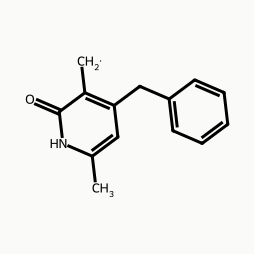 [CH2]c1c(Cc2ccccc2)cc(C)[nH]c1=O